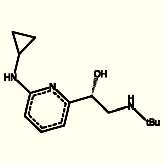 CC(C)(C)NC[C@@H](O)c1cccc(NC2CC2)n1